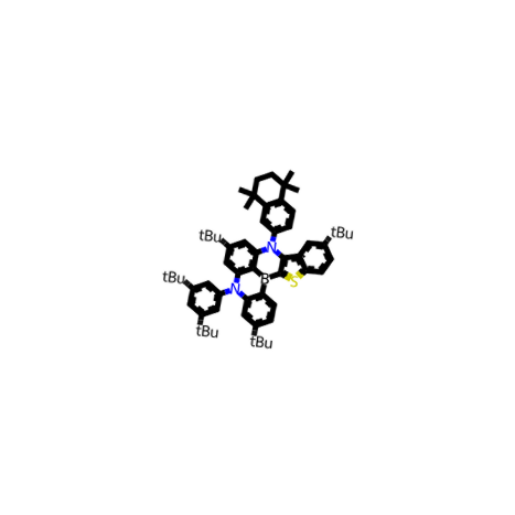 CC(C)(C)c1cc(N2c3cc(C(C)(C)C)ccc3B3c4sc5ccc(C(C)(C)C)cc5c4N(c4ccc5c(c4)C(C)(C)CCC5(C)C)c4cc(C(C)(C)C)cc2c43)cc(C(C)(C)C)c1